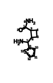 NC(=O)C1CCC1C(N)c1cccs1